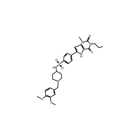 CCCn1c(=O)c2[nH]c(-c3ccc(S(=O)(=O)NC4CCN(Cc5ccc(OC)c(OC)c5)CC4)cc3)cc2n(C)c1=O